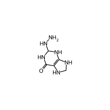 NNC1NC(=O)C2=C(NCN2)N1